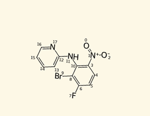 O=[N+]([O-])c1ccc(F)c(Br)c1Nc1ccccn1